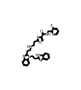 O=C(NCc1ncccc1F)c1coc(CCNCCc2nc3ccccc3n2CCc2nc3ccccc3[nH]2)n1